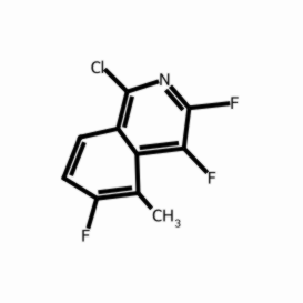 Cc1c(F)ccc2c(Cl)nc(F)c(F)c12